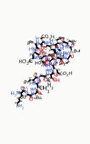 CC[C@H](C)[C@H](NC(=O)[C@H](CC(C)C)NC(=O)CNC(=O)[C@H](CC(=O)O)NC(=O)[C@H](CCC(=O)O)NC(=O)[C@@H](NC(=O)CNC(=O)[C@H](CC(C)C)NC(=O)[C@H](C)NC(=O)[C@@H](NC(=O)[C@@H](NC(=O)[C@@H](N)CCCCN)[C@@H](C)CC)[C@@H](C)CC)[C@@H](C)O)C(=O)N[C@@H](CC(C)C)C(=O)N[C@@H](CC(C)C)C(=O)N[C@@H](Cc1c[nH]cn1)C(=O)N[C@@H](CC(=O)O)C(=O)N[C@H](C(=O)N[C@@H](CCC(=O)O)C(=O)N[C@@H](CC(N)=O)C(=O)NCC(=O)O)C(C)C